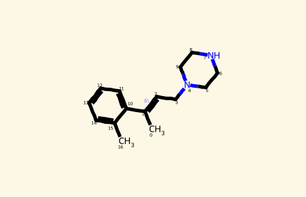 C/C(=C\CN1CCNCC1)c1ccccc1C